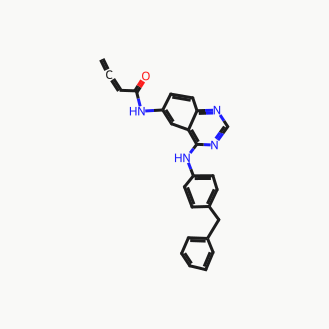 C=C=CC(=O)Nc1ccc2ncnc(Nc3ccc(Cc4ccccc4)cc3)c2c1